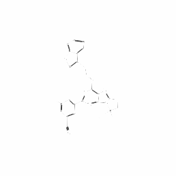 CC1(C)COc2nc3c(NCCc4c[nH]c5ccccc45)nc(-c4cc(F)cc(C#N)c4)nc3n21